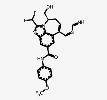 N=C/N=C\C1=CC[C@H](CO)n2c(C(F)F)nc3cc(C(=O)Nc4ccc(OC(F)(F)F)cc4)cc1c32